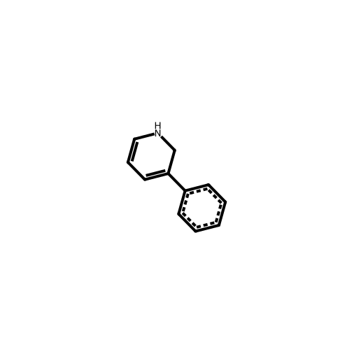 C1=CNCC(c2ccccc2)=C1